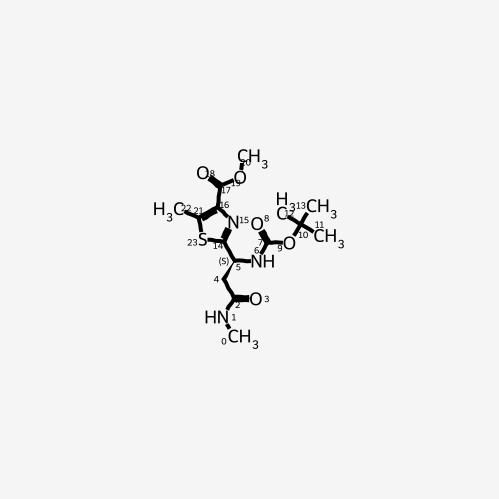 CNC(=O)C[C@H](NC(=O)OC(C)(C)C)c1nc(C(=O)OC)c(C)s1